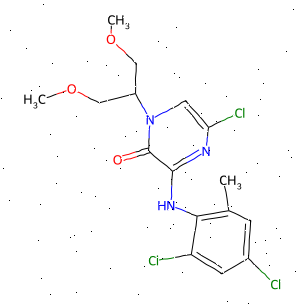 COCC(COC)n1cc(Cl)nc(Nc2c(C)cc(Cl)cc2Cl)c1=O